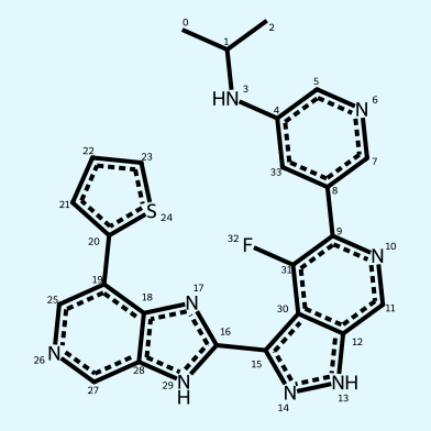 CC(C)Nc1cncc(-c2ncc3[nH]nc(-c4nc5c(-c6cccs6)cncc5[nH]4)c3c2F)c1